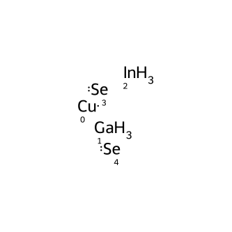 [Cu].[GaH3].[InH3].[Se].[Se]